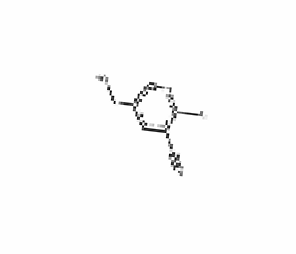 N#Cc1cc(CO)cnc1Br